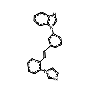 C(=C\c1ccccc1-n1ccnc1)/c1cccc(-n2cnc3ccccc32)c1